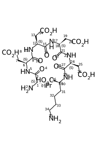 CC(C)[C@H](N)C(=O)N[C@@H](CC(=O)O)C(=O)N[C@@H](CC(=O)O)C(=O)N[C@@H](CC(=O)O)C(=O)N[C@@H](CC(=O)O)C(=O)N[C@@H](CCCCN)C(=O)O